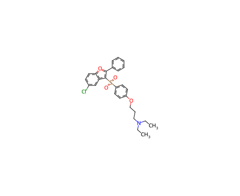 CCN(CC)CCCOc1ccc(S(=O)(=O)c2c(-c3ccccc3)oc3ccc(Cl)cc23)cc1